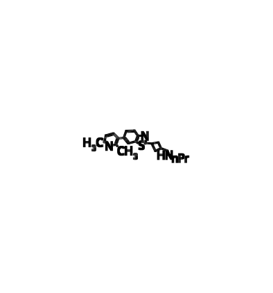 CCCNCC1CC(c2nc3ccc(-c4ccc(C)nc4C)cc3s2)C1